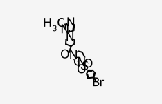 Cc1nccc(N2CCC(C(=O)N3CCCN(S(=O)(=O)c4ccc(Br)cc4)CC3)CC2)n1